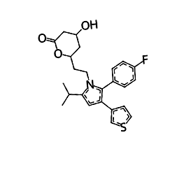 CC(C)c1cc(-c2ccsc2)c(-c2ccc(F)cc2)n1CCC1CC(O)CC(=O)O1